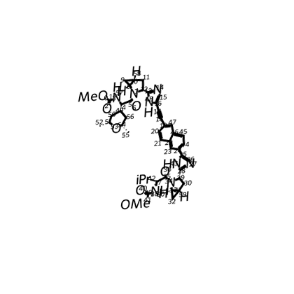 COC(=O)NC(C(=O)N1[C@@H]2C[C@@H]2C[C@H]1c1ncc(C#Cc2ccc3cc(-c4cnc([C@@H]5C[C@H]6C[C@H]6N5C(=O)[C@@H](NC(=O)OC)C(C)C)[nH]4)ccc3c2)[nH]1)[C@H]1C[C@@H](C)O[C@@H](C)C1